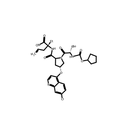 C=CC[C@@](CC)(NC(=O)C1C[C@@H](Oc2ccnc3cc(Cl)ccc23)CN1C(=O)[C@@H](NC(=O)OC1CCCC1)C(C)(C)C)C(=O)N=O